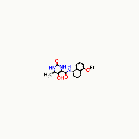 C=C1NC(=O)NC(C(=O)N[C@H]2CCCc3c(OCC)cccc32)=C1O